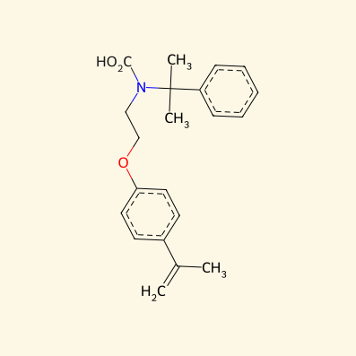 C=C(C)c1ccc(OCCN(C(=O)O)C(C)(C)c2ccccc2)cc1